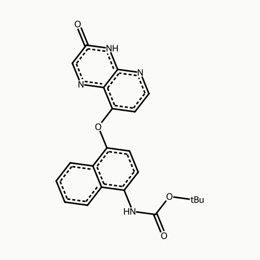 CC(C)(C)OC(=O)Nc1ccc(Oc2ccnc3[nH]c(=O)cnc23)c2ccccc12